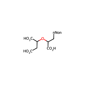 CCCCCCCCCCC(OC(CC(=O)O)C(=O)O)C(=O)O